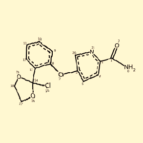 NC(=O)c1ccc(Oc2ccccc2C2(Cl)OCCO2)cn1